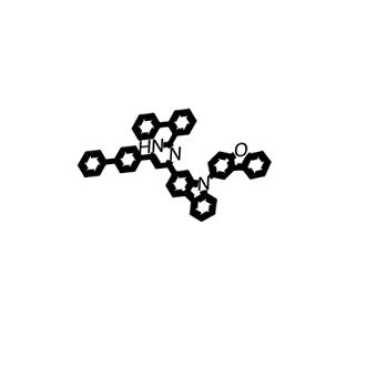 C1=C(c2ccc(-c3ccccc3)cc2)NC(c2ccccc2-c2ccccc2)N=C1c1ccc2c3ccccc3n(-c3ccc4oc5ccccc5c4c3)c2c1